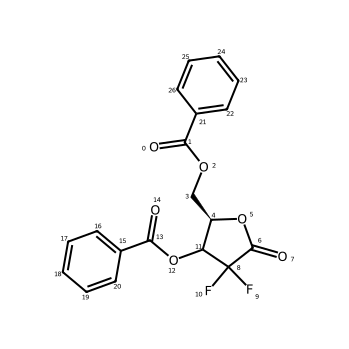 O=C(OC[C@H]1OC(=O)C(F)(F)C1OC(=O)c1ccccc1)c1ccccc1